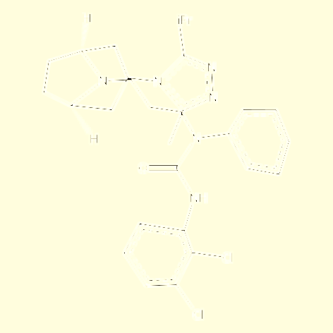 Cc1nnc(C(C)C)n1C1C[C@H]2CC[C@@H](C1)N2CCCN(C(=O)Nc1cccc(Cl)c1Cl)c1ccccc1